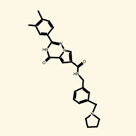 Cc1ccc(-c2nn3cc(C(=O)NCc4cccc(CN5CCCC5)c4)cc3c(=O)[nH]2)cc1C